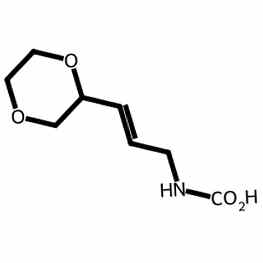 O=C(O)NCC=CC1COCCO1